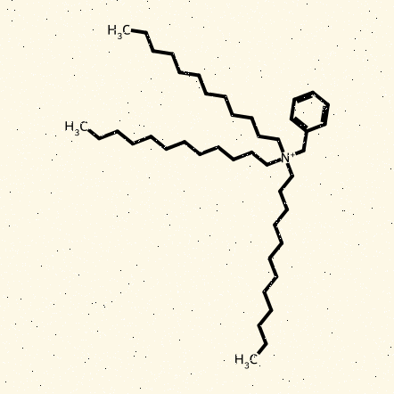 CCCCCCCCCCCC[N+](CCCCCCCCCCCC)(CCCCCCCCCCCC)Cc1ccccc1